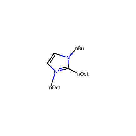 CCCCCCCCc1n(CCCC)cc[n+]1CCCCCCCC